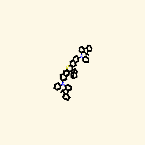 CC1(C)c2ccccc2-c2cccc(N(c3ccccc3)c3ccc4cc5c(cc4c3)C3(c4cc6cc(N(c7ccccc7)c7cccc8c7C(C)(C)c7ccccc7-8)ccc6cc4S5)C4CC5CC(C4)CC3C5)c21